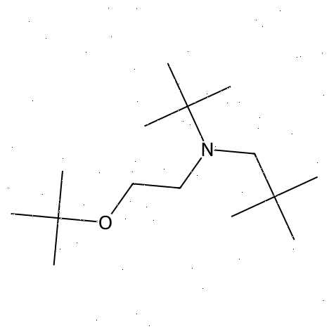 CC(C)(C)CN(CCOC(C)(C)C)C(C)(C)C